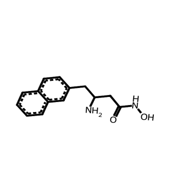 NC(CC(=O)NO)Cc1ccc2ccccc2c1